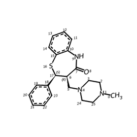 CN1CCN(C[C@@H]2C(=O)Nc3ccccc3S[C@@H]2c2ccccc2)CC1